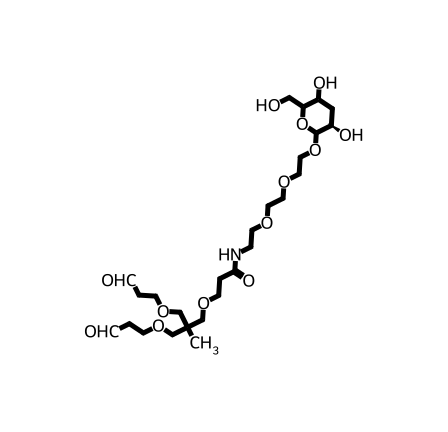 CC(COCCC=O)(COCCC=O)COCCC(=O)NCCOCCOCCOC1OC(CO)C(O)C[C@H]1O